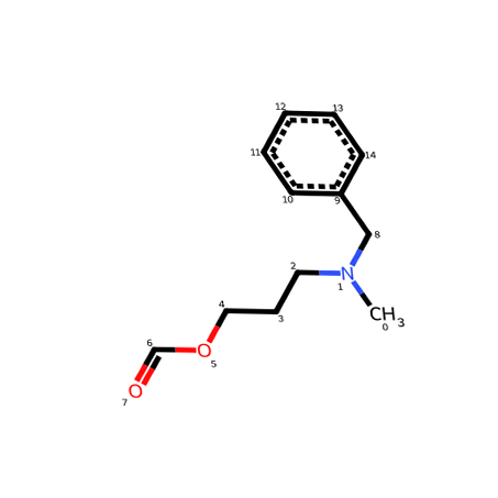 CN(CCCOC=O)Cc1ccccc1